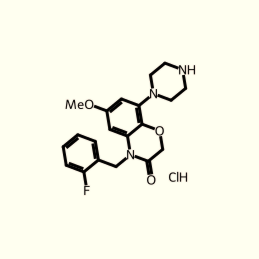 COc1cc(N2CCNCC2)c2c(c1)N(Cc1ccccc1F)C(=O)CO2.Cl